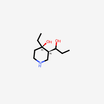 CCC(O)[C@H]1CNCC[C@]1(O)CC